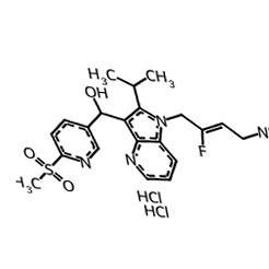 CC(C)c1c(C(O)c2ccc(S(C)(=O)=O)nc2)c2ncccc2n1CC(F)=CCN.Cl.Cl